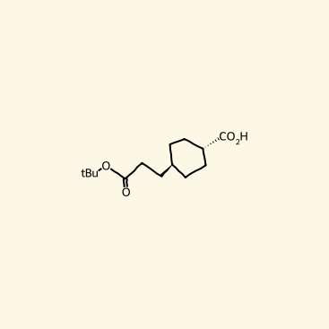 CC(C)(C)OC(=O)CC[C@H]1CC[C@H](C(=O)O)CC1